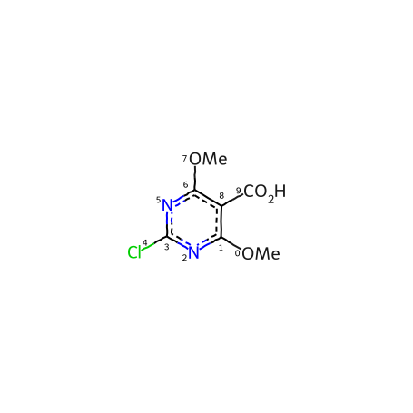 COc1nc(Cl)nc(OC)c1C(=O)O